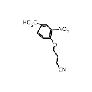 N#CCCCOc1ccc(C(=O)O)cc1[N+](=O)[O-]